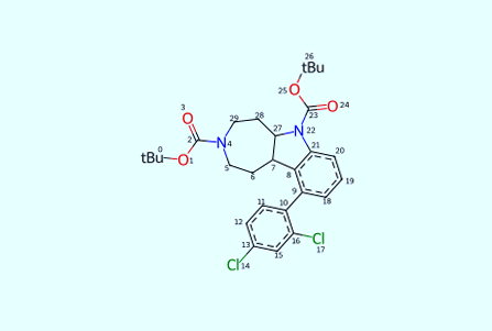 CC(C)(C)OC(=O)N1CCC2c3c(-c4ccc(Cl)cc4Cl)cccc3N(C(=O)OC(C)(C)C)C2CC1